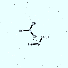 O=C(O)OO.OB(O)O